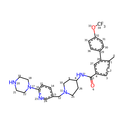 Cc1ccc(C(=O)NC2CCN(Cc3ccc(N4CCNCC4)nc3)CC2)cc1-c1ccc(OC(F)(F)F)cc1